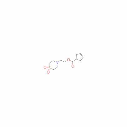 O=C(OCCN1CCS(=O)(=O)CC1)C1=CC=CC1